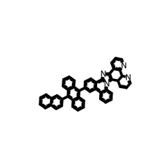 C1=CC2c3c(nc4c5ccc(-c6c7ccccc7c(-c7ccc8ccccc8c7)c7ccccc67)cc5c5ccccc5n34)-c3cccnc3C2N=C1